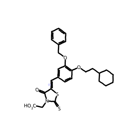 O=C(O)CN1C(=O)/C(=C/c2ccc(OCCC3CCCCC3)c(OCc3ccccc3)c2)SC1=S